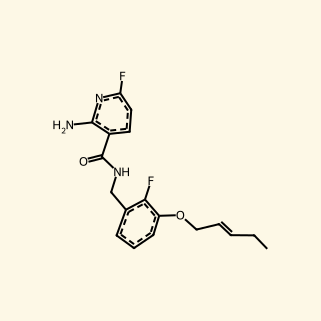 CCC=CCOc1cccc(CNC(=O)c2ccc(F)nc2N)c1F